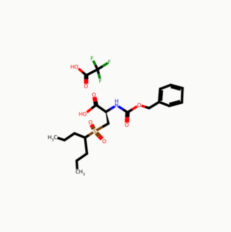 CCCC(CCC)S(=O)(=O)C[C@H](NC(=O)OCc1ccccc1)C(=O)O.O=C(O)C(F)(F)F